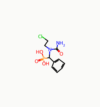 NC(=O)N(CCCl)C(c1ccccc1)P(=O)(O)O